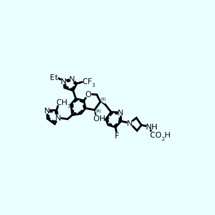 CCn1cc(-c2cc(Cn3ccnc3C)cc3c2OC[C@@H](Cc2ccc(F)c(N4CC(NC(=O)O)C4)n2)[C@H]3O)c(C(F)(F)F)n1